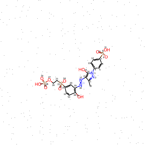 Cc1nn(-c2ccc(S(=O)(=O)O)cc2)c(O)c1/N=N/c1cc(S(=O)(=O)CCOS(=O)(=O)O)ccc1O